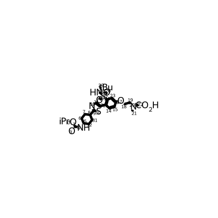 CC(C)OC(=O)NC1CCC(c2ncc(-c3ccc(OCCN(C)C(=O)O)cc3S(=O)(=O)NC(C)(C)C)s2)CC1